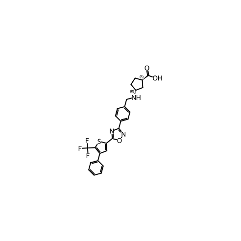 O=C(O)[C@@H]1CC[C@@H](NCc2ccc(-c3noc(-c4cc(-c5ccccc5)c(C(F)(F)F)s4)n3)cc2)C1